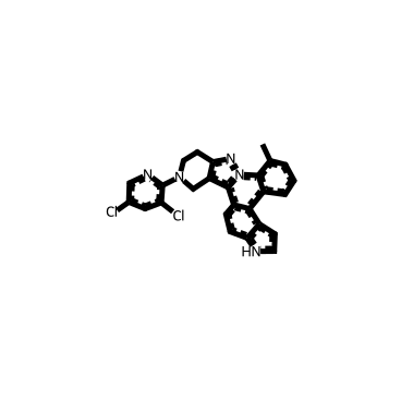 Cc1cccc2c3c4cc[nH]c4ccc3c3c4c(nn3c12)CCN(c1ncc(Cl)cc1Cl)C4